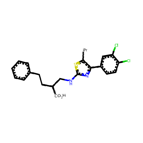 CC(C)c1sc(NCC(CCc2ccccc2)C(=O)O)nc1-c1ccc(Cl)c(Cl)c1